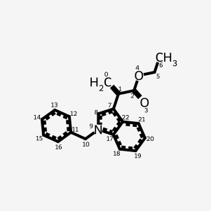 C=C(C(=O)OCC)c1cn(Cc2ccccc2)c2ccccc12